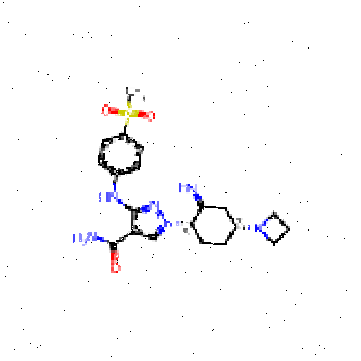 N=C1C[C@H](N2CCC2)CC[C@@H]1n1cc(C(N)=O)c(Nc2ccc(S(=O)(=O)C(F)(F)F)cc2)n1